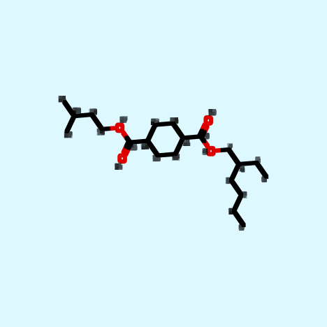 CCCCC(CC)COC(=O)C1CCC(C(=O)OCCC(C)C)CC1